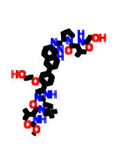 COC(=O)N[C@H](C(=O)N1C[Si](C)(C)C[C@H]1c1ncc(-c2ccc(-c3ccc4c(ccc5nc([C@@H]6CCCN6C(=O)[C@@H](NC(=O)CO)C(C)C)[nH]c54)c3)cc2OCCO)[nH]1)C(C)C